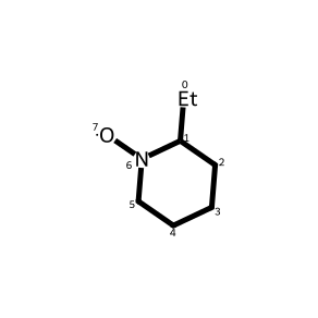 CCC1CCCCN1[O]